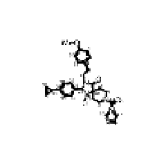 COc1ccc(CCN2C(=O)C3(CCN(C(=O)n4ccnc4)CC3)N(C)C2c2ccc(C3CC3)cc2)cc1